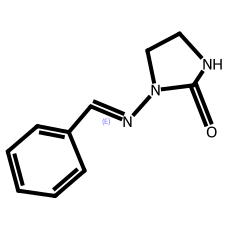 O=C1NCCN1/N=C/c1ccccc1